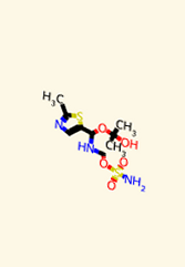 Cc1ncc(C(NCOS(N)(=O)=O)OC(C)(C)O)s1